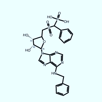 O=P(O)(O)C(c1ccccc1)S(=O)(=O)CC1O[C@@H](n2cnc3c(NCc4ccccc4)ncnc32)[C@H](O)[C@@H]1O